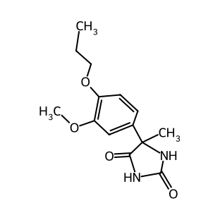 CCCOc1ccc(C2(C)NC(=O)NC2=O)cc1OC